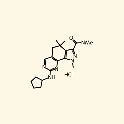 CNC(=O)c1nn(C)c2c1C(C)(C)Cc1cnc(NC3CCCC3)nc1-2.Cl